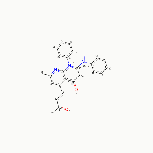 CC(=O)/C=C/c1cc(C)nc2c1c(=O)cc(Nc1ccccc1)n2-c1ccccc1